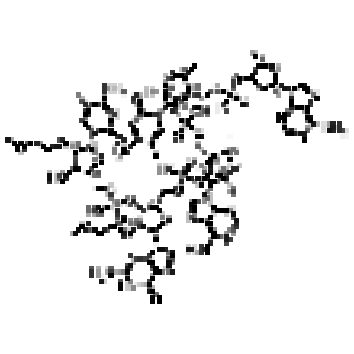 COCCO[C@H]1C(OP(=O)(S)OC[C@H]2O[C@@H](n3cc(C)c(N)nc3=O)[C@@H](OCCOC)C2O)[C@@H](COP(=O)(S)OC2[C@@H]3O[C@@H](C)[C@]2(COP(=O)(O)OC2[C@@H]4O[C@@H](C)[C@]2(COP(=O)(S)OC2C[C@H](n5cnc6c(N)ncnc65)O[C@@H]2C)OC4n2cc(C)c(N)nc2=O)OC3n2cnc3c(N)ncnc32)OC1n1cnc2c(=O)[nH]c(N)nc21